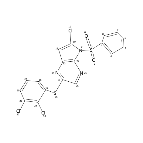 O=S(=O)(c1ccccc1)n1c(Cl)cc2nc(Sc3cccc(Cl)c3Cl)cnc21